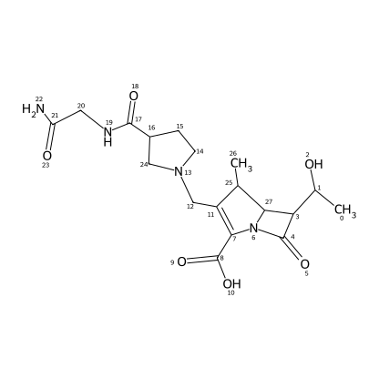 CC(O)C1C(=O)N2C(C(=O)O)=C(CN3CCC(C(=O)NCC(N)=O)C3)C(C)C12